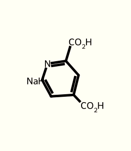 O=C(O)c1ccnc(C(=O)O)c1.[NaH]